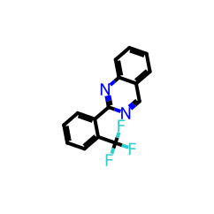 FC(F)(F)c1ccccc1-c1ncc2ccccc2n1